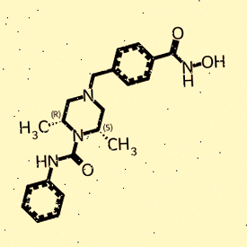 C[C@@H]1CN(Cc2ccc(C(=O)NO)cc2)C[C@H](C)N1C(=O)Nc1ccccc1